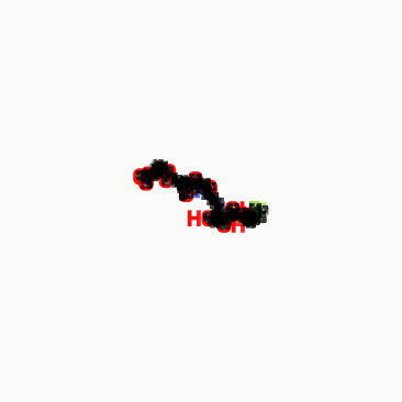 COc1cc(/C=C/C(=O)Oc2cccc(CO[N+](=O)[O-])c2)ccc1OC(=O)C(C)NC(=O)CCC/C=C\C[C@@H]1[C@@H](/C=C/[C@@H](O)COc2cccc(C(F)(F)F)c2)[C@H](O)C[C@@H]1O